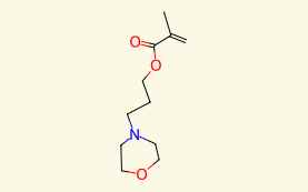 C=C(C)C(=O)OCCCN1CCOCC1